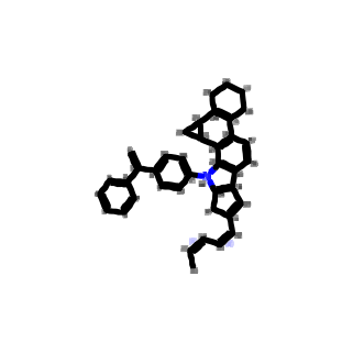 C=C(c1ccccc1)c1ccc(-n2c3c(c4ccc5c(c42)C2CC2C2=C5CCCC2)C=C(/C=C\C=C/C)C3)cc1